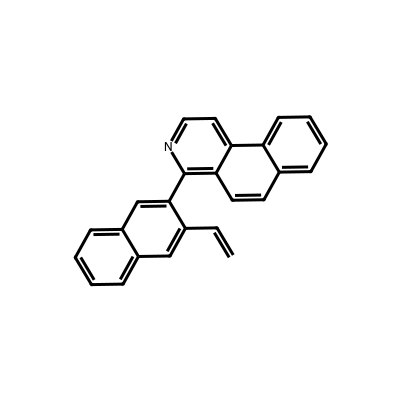 C=Cc1cc2ccccc2cc1-c1nccc2c1ccc1ccccc12